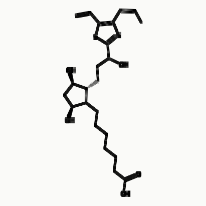 C=Cc1sc(C(O)CC[C@@H]2C(CCCCCCC(=O)O)[C@@H](O)C[C@H]2O)nc1/C=C\C